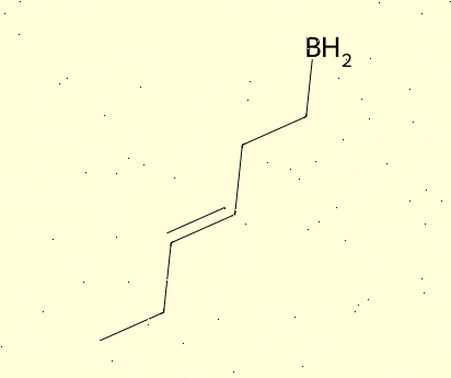 BCC/C=C/CC